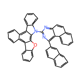 c1ccc2cc(-c3nc(-n4c5ccccc5c5c6ccccc6c6c7ccccc7oc6c54)nc4ccc5ccccc5c34)ccc2c1